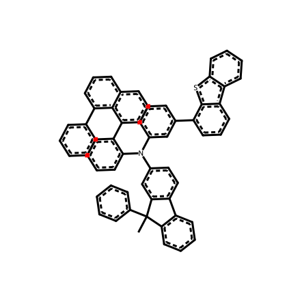 CC1(c2ccccc2)c2ccccc2-c2ccc(N(c3cccc(-c4cccc5c4sc4ccccc45)c3)c3ccccc3-c3cccc4cccc(-c5ccccc5)c34)cc21